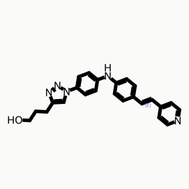 OCCCc1cn(-c2ccc(Nc3ccc(/C=C/c4ccncc4)cc3)cc2)nn1